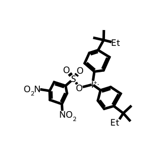 CCC(C)(C)c1ccc([I+](OS(=O)(=O)c2cc([N+](=O)[O-])cc([N+](=O)[O-])c2)c2ccc(C(C)(C)CC)cc2)cc1